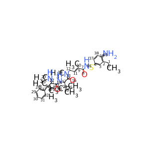 CCc1cc(SNC(=O)/C(C)=C/CN(C)C(=O)C(NC(=O)C(NC)C(C)(C)c2ccccc2)C(C)(C)C)ccc1N